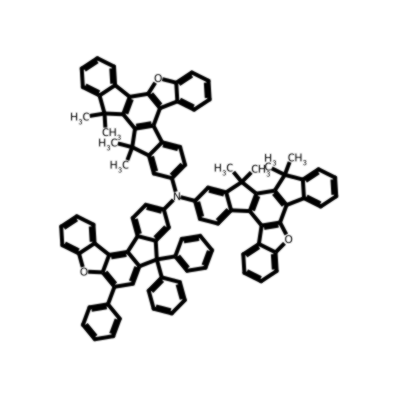 CC1(C)c2ccccc2-c2c1c1c(c3c2oc2ccccc23)-c2ccc(N(c3ccc4c(c3)C(C)(C)c3c5c(c6oc7ccccc7c6c3-4)-c3ccccc3C5(C)C)c3ccc4c(c3)C(c3ccccc3)(c3ccccc3)c3cc(-c5ccccc5)c5oc6ccccc6c5c3-4)cc2C1(C)C